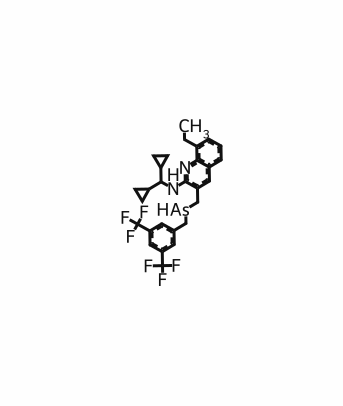 CCc1cccc2cc(C[AsH]Cc3cc(C(F)(F)F)cc(C(F)(F)F)c3)c(NC(C3CC3)C3CC3)nc12